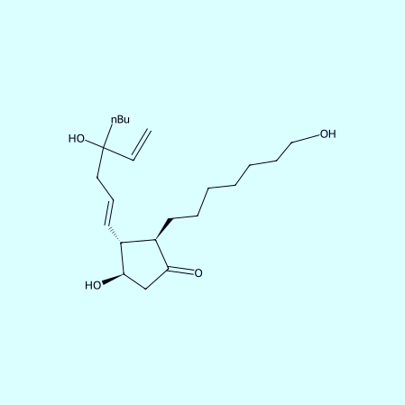 C=CC(O)(C/C=C/[C@H]1[C@H](O)CC(=O)[C@@H]1CCCCCCCO)CCCC